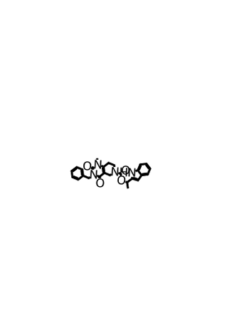 CC(OC(=O)N1CCc2c(c(=O)n(Cc3ccccc3)c(=O)n2C)C1)c1cc2ccccc2[nH]1